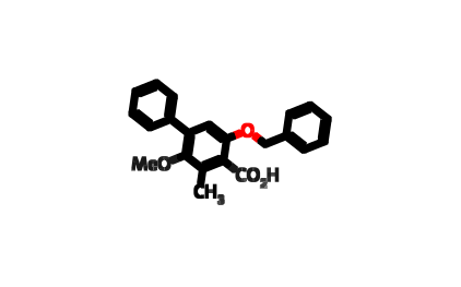 COc1c(-c2ccccc2)cc(OCc2ccccc2)c(C(=O)O)c1C